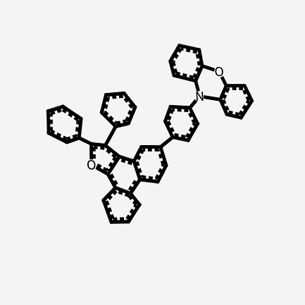 c1ccc(-c2oc3c4ccccc4c4ccc(-c5ccc(N6c7ccccc7Oc7ccccc76)cc5)cc4c3c2-c2ccccc2)cc1